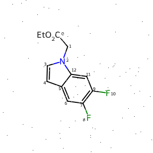 CCOC(=O)Cn1ccc2cc(F)c(F)cc21